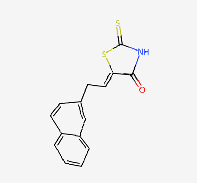 O=C1NC(=S)SC1=CCc1ccc2ccccc2c1